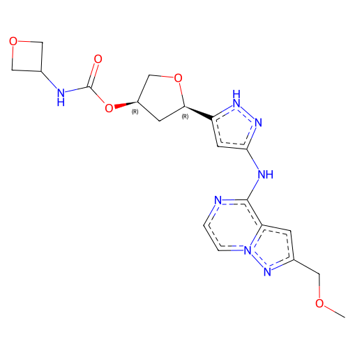 COCc1cc2c(Nc3cc([C@H]4C[C@@H](OC(=O)NC5COC5)CO4)[nH]n3)nccn2n1